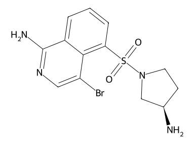 Nc1ncc(Br)c2c(S(=O)(=O)N3CC[C@@H](N)C3)cccc12